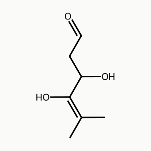 CC(C)=C(O)C(O)CC=O